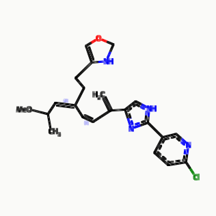 C=C(/C=C\C(=C/C(C)OC)CCC1=COCN1)c1c[nH]c(-c2ccc(Cl)nc2)n1